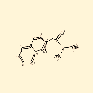 CCCCN(CCCC)C(=O)c1ccc2ccccc2n1